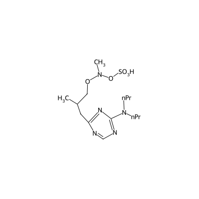 CCCN(CCC)c1ncnc(CC(C)CON(C)OS(=O)(=O)O)n1